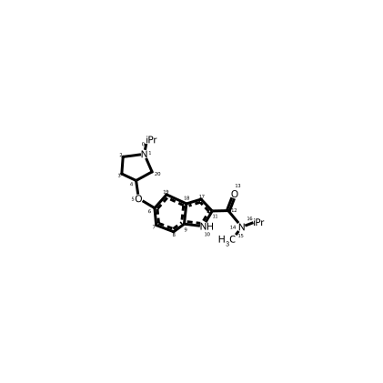 CC(C)N1CCC(Oc2ccc3[nH]c(C(=O)N(C)C(C)C)cc3c2)C1